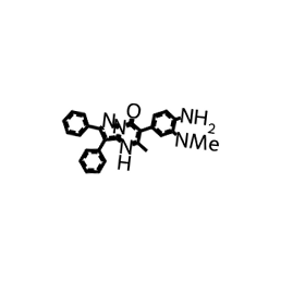 CNc1cc(-c2c(C)[nH]c3c(-c4ccccc4)c(-c4ccccc4)nn3c2=O)ccc1N